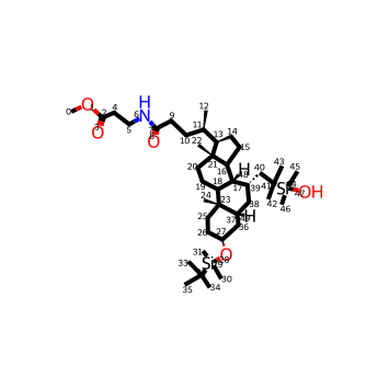 COC(=O)CCNC(=O)CC[C@@H](C)[C@H]1CCC2[C@H]3C(CC[C@@]21C)[C@@]1(C)CC[C@@H](O[Si](C)(C)C(C)(C)C)C[C@H]1C[C@H]3CC(C)(C)[Si](C)(C)O